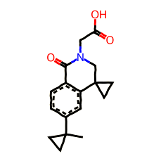 CC1(c2ccc3c(c2)C2(CC2)CN(CC(=O)O)C3=O)CC1